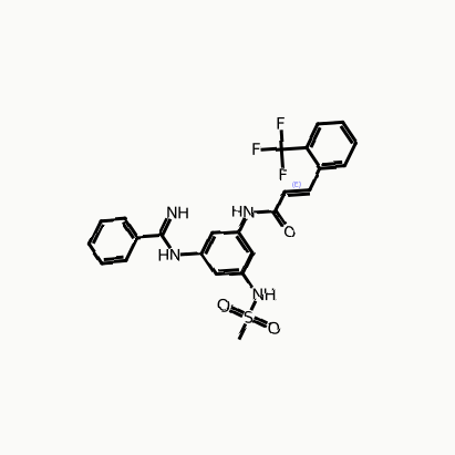 CS(=O)(=O)Nc1cc(NC(=N)c2ccccc2)cc(NC(=O)/C=C/c2ccccc2C(F)(F)F)c1